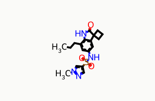 CCCc1cc(NS(=O)(=O)c2cnn(C)c2)cc2c1NC(=O)C21CCC1